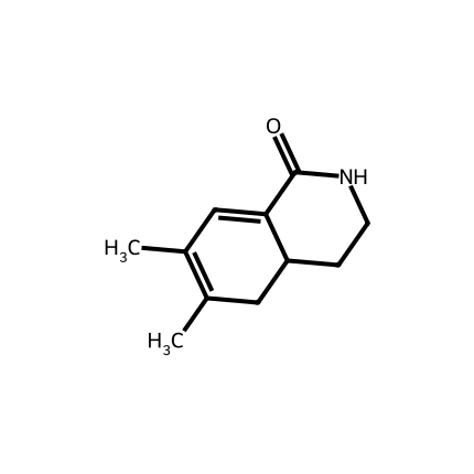 CC1=C(C)CC2CCNC(=O)C2=C1